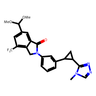 COC(OC)c1cc2c(c(C(F)(F)F)c1)CN(c1cccc(C3CC3c3nncn3C)c1)C2=O